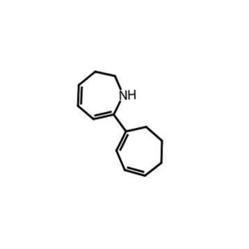 C1=CCCCC(C2=CC=CCCN2)=C1